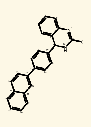 ClC1=Nc2ccccc2C(c2ccc(-c3ccc4ccccc4c3)cc2)N1